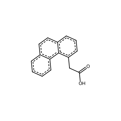 O=C(O)Cc1cccc2ccc3ccccc3c12